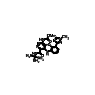 BC(B)(B)NC(=O)c1nnc(NC(=O)OC)cc1Nc1cccc(-c2ncn(C)n2)c1OC